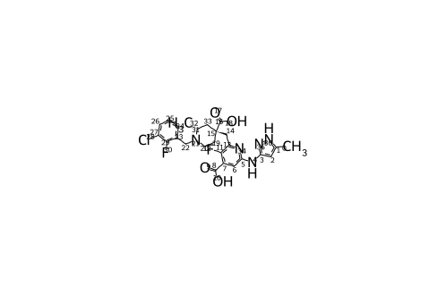 Cc1cc(Nc2cc(C(=O)O)c(F)c(C[C@@]3(C(=O)O)CCN(Cc4cccc(Cl)c4F)[C@H](C)C3)n2)n[nH]1